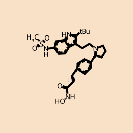 CC(C)(C)c1[nH]c2cc(NS(C)(=O)=O)ccc2c1CCN1CCCC1c1ccc(/C=C/C(=O)NO)cc1